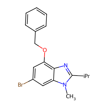 CC(C)c1nc2c(OCc3ccccc3)cc(Br)cc2n1C